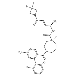 C[C@H](/C=C/C(=O)N1CC(F)(F)C1)NC(=O)[C@@]1(F)CCCN(C(=O)c2ccc(C(F)(F)F)cc2-c2c(F)cccc2Cl)CC1